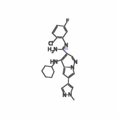 Cn1cc(-c2cc3c(NC4CCCCC4)c(/C(N)=N/c4cc(F)ccc4Cl)cnn3c2)cn1